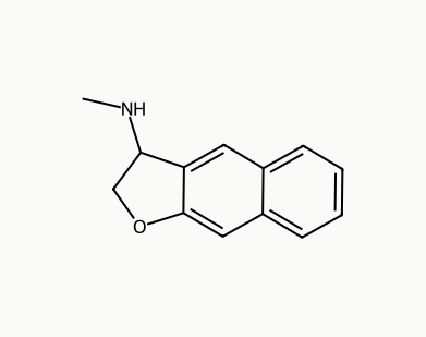 CNC1COc2cc3ccccc3cc21